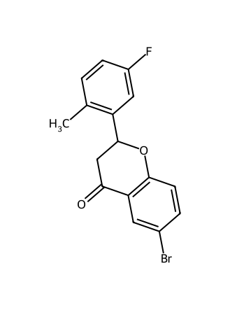 Cc1ccc(F)cc1C1CC(=O)c2cc(Br)ccc2O1